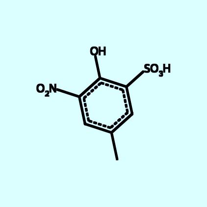 Cc1cc([N+](=O)[O-])c(O)c(S(=O)(=O)O)c1